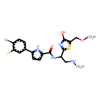 O=C(O)NCC(NC(=O)c1ccc(-c2ccc(Cl)c(F)c2)[nH]1)c1nc(O)c(COC(=O)O)s1